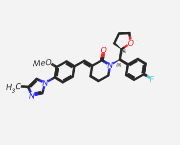 COc1cc(C=C2CCCN([C@H](c3ccc(F)cc3)[C@H]3CCCO3)C2=O)ccc1-n1cnc(C)c1